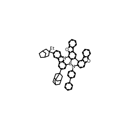 CCC1(c2ccc3c(c2)c2cc(C45CC6CC(CC(C6)C4)C5)cc4c2n3-c2c3c(cc5c2oc2ccccc25)-c2c(ccc5oc6ccccc6c25)N(c2ccc(-c5ccccc5)cc2)B34)CC2CCC(C2)C1